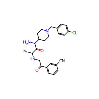 CC(C)C(NCC(=O)c1cccc(C#N)c1)C(=O)C(N)C1CCN(Cc2ccc(Cl)cc2)CC1